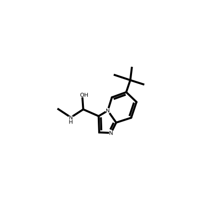 CNC(O)c1cnc2ccc(C(C)(C)C)cn12